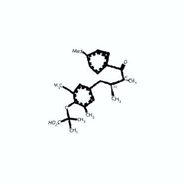 CSc1ccc(C(=O)[C@H](C)[C@@H](C)Cc2cc(C)c(OC(C)(C)C(=O)O)c(C)c2)cc1